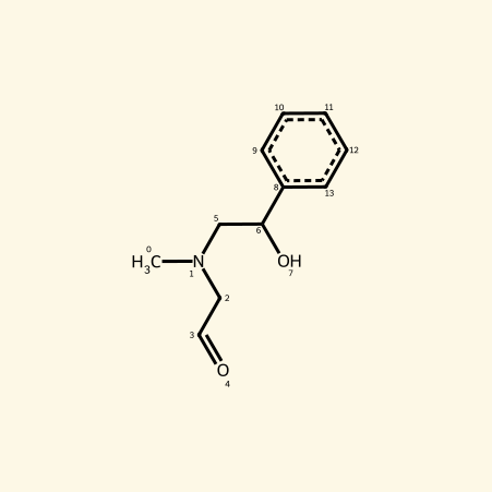 CN(CC=O)CC(O)c1ccccc1